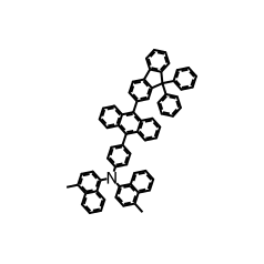 Cc1ccc(N(c2ccc(-c3c4ccccc4c(-c4ccc5c(c4)C(c4ccccc4)(c4ccccc4)c4ccccc4-5)c4ccccc34)cc2)c2ccc(C)c3ccccc23)c2ccccc12